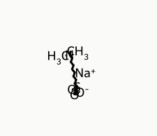 CN(C)CCCCCCCCSS(=O)(=O)[O-].[Na+]